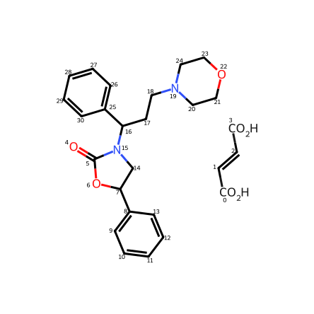 O=C(O)C=CC(=O)O.O=C1OC(c2ccccc2)CN1C(CCN1CCOCC1)c1ccccc1